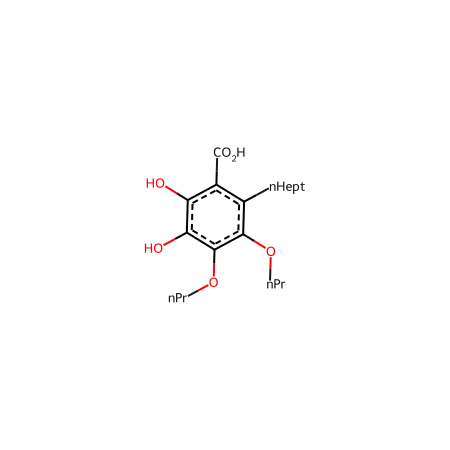 CCCCCCCc1c(OCCC)c(OCCC)c(O)c(O)c1C(=O)O